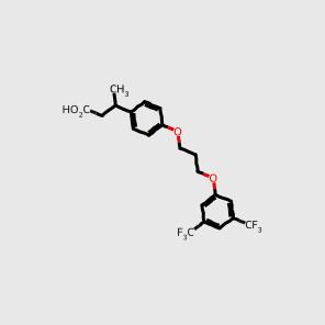 CC(CC(=O)O)c1ccc(OCCCOc2cc(C(F)(F)F)cc(C(F)(F)F)c2)cc1